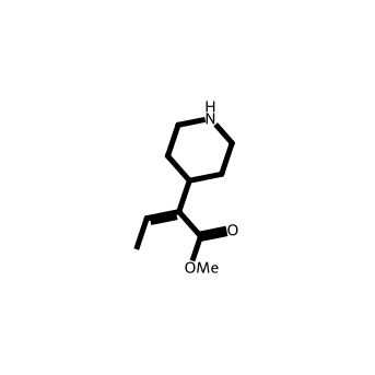 CC=C(C(=O)OC)C1CCNCC1